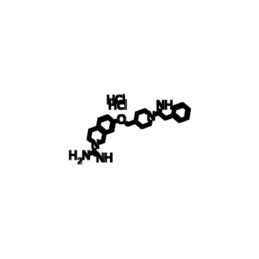 Cl.Cl.N=C(N)N1CCc2ccc(OCC3CCN(C(=N)Cc4ccccc4)CC3)cc2C1